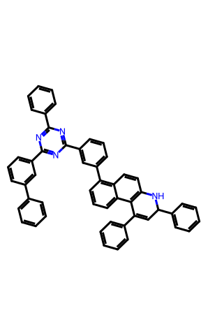 C1=C(c2ccccc2)c2c(ccc3c(-c4cccc(-c5nc(-c6ccccc6)nc(-c6cccc(-c7ccccc7)c6)n5)c4)cccc23)NC1c1ccccc1